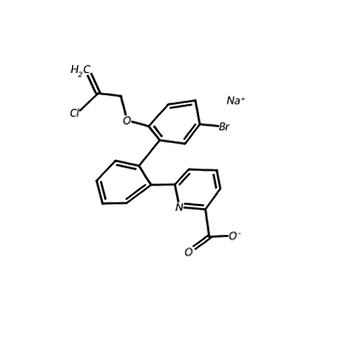 C=C(Cl)COc1ccc(Br)cc1-c1ccccc1-c1cccc(C(=O)[O-])n1.[Na+]